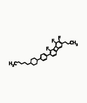 CCCCCC1CCC(c2ccc(-c3ccc4c(c3F)-c3c-4cc(CCC)c(F)c3F)cc2)CC1